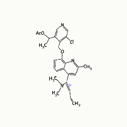 C=C/C=C(/c1cc(C)nc2c(OCc3c(Cl)cncc3C(C)OC(C)=O)cccc12)N(C)C